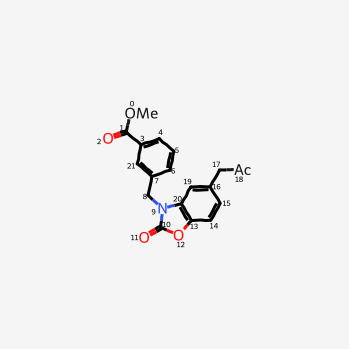 COC(=O)c1cccc(Cn2c(=O)oc3ccc(CC(C)=O)cc32)c1